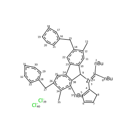 CCCC[C](CCCC)=[Zr+2]([C]1=CC=CC1)[CH]1c2cc(C)c(Cc3ccccc3)cc2-c2cc(Cc3ccccc3)c(C)c(CCCC)c21.[Cl-].[Cl-]